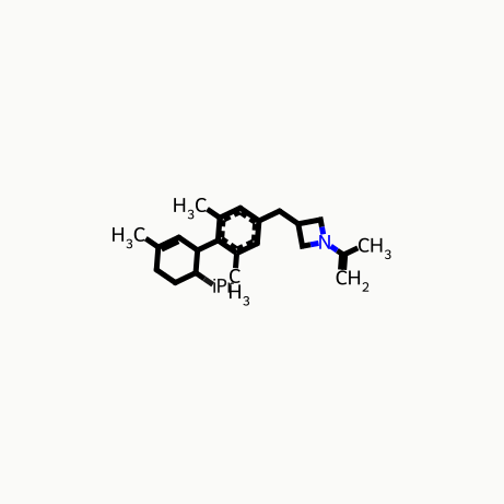 C=C(C)N1CC(Cc2cc(C)c(C3C=C(C)CCC3C(C)C)c(C)c2)C1